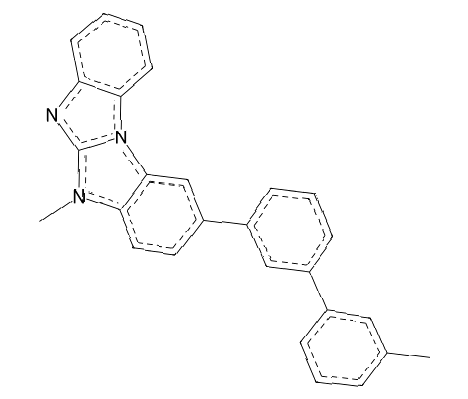 Cc1cccc(-c2cccc(-c3ccc4c(c3)n3c5ccccc5nc3n4C)c2)c1